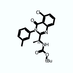 Cc1cccc(-n2c([C@H](C)NC(=O)OC(C)(C)C)nc3cccc(Cl)c3c2=O)c1